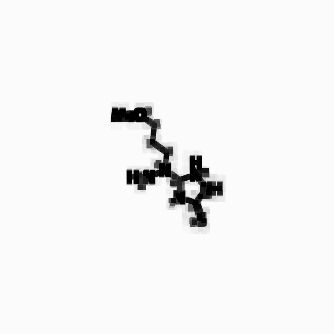 COCCCN(N)c1nc(=S)[nH][nH]1